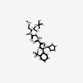 COCCN(C)C(=O)[C@H](CCOC(C)(C)C)NC(=O)c1cc(-c2ccccc2C(F)(F)F)n(C2CCCC2)n1